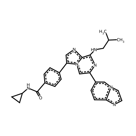 CC(C)CNc1nc(-c2ccc3nccn3c2)cn2c(-c3ccc(C(=O)NC4CC4)cc3)cnc12